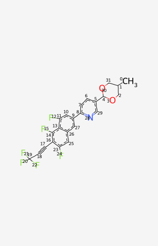 CC1COC(c2ccc(-c3cc(F)c4c(F)c(C#CC(F)(F)F)c(F)cc4c3)nc2)OC1